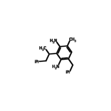 Cc1cc(CC(C)C)c(N)c(C(C)CC(C)C)c1N